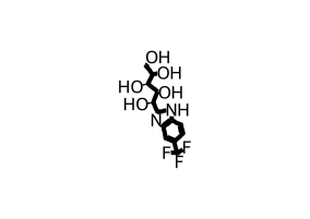 OCC(O)[C@@H](O)C(O)[C@@H](O)c1nc2cc(C(F)(F)F)ccc2[nH]1